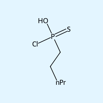 CCCCCP(O)(=S)Cl